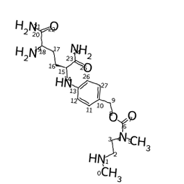 CNCCN(C)C(=O)OCc1ccc(N[C@@H](CCC(N)C(N)=O)C(N)=O)cc1